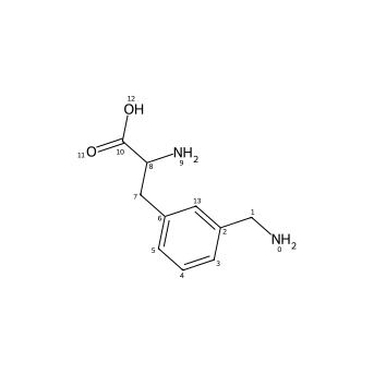 NCc1cccc(CC(N)C(=O)O)c1